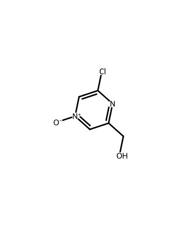 [O-][n+]1cc(Cl)nc(CO)c1